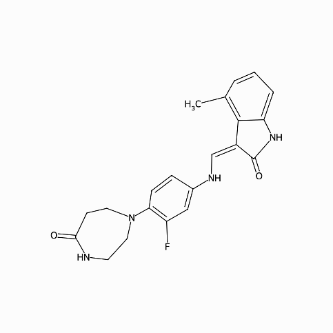 Cc1cccc2c1C(=CNc1ccc(N3CCNC(=O)CC3)c(F)c1)C(=O)N2